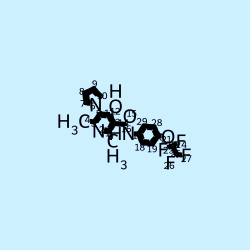 Cc1nc(C)c(-n2cccc2)c(O)c1C(=O)Nc1ccc(OC(F)(F)C(F)F)cc1